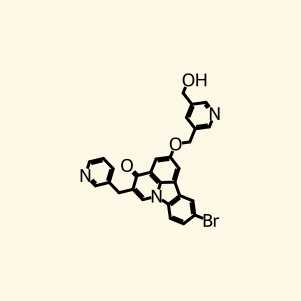 O=c1c(Cc2cccnc2)cn2c3ccc(Br)cc3c3cc(OCc4cncc(CO)c4)cc1c32